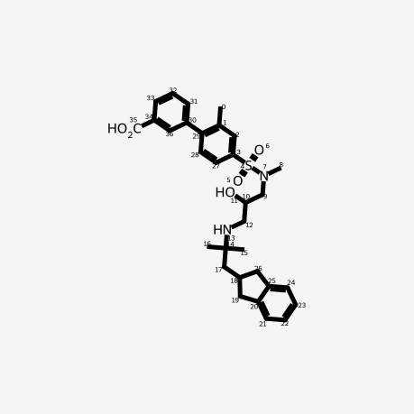 Cc1cc(S(=O)(=O)N(C)CC(O)CNC(C)(C)CC2Cc3ccccc3C2)ccc1-c1cccc(C(=O)O)c1